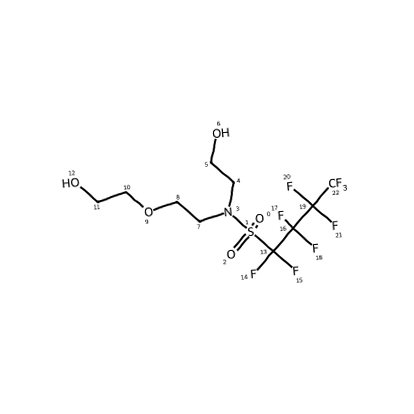 O=S(=O)(N(CCO)CCOCCO)C(F)(F)C(F)(F)C(F)(F)C(F)(F)F